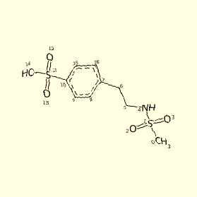 CS(=O)(=O)NCCc1ccc(S(=O)(=O)O)cc1